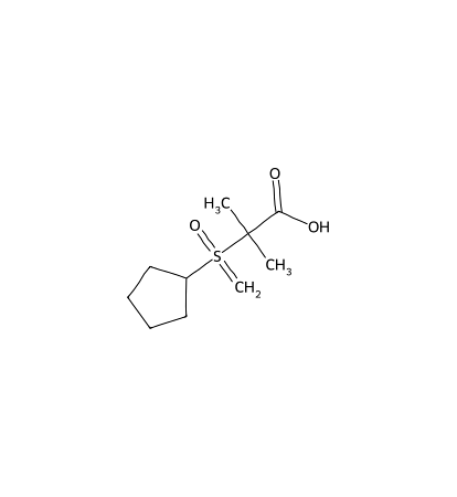 C=S(=O)(C1CCCC1)C(C)(C)C(=O)O